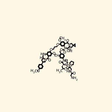 COc1ccc(C2=CN3C(=O)c4cc(OC)c(OCCCOc5cc6c(cc5OC)C(=O)N5CC7(CC7)C[C@H]5C(O)N6C(=O)OCc5ccc(NC(=O)[C@H](CC(C)C)NC(=O)[C@@H]6CCCN6C(=O)CNC(=O)CN)cc5)cc4NC[C@@H]3C2)cc1